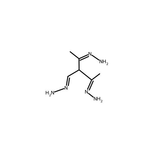 C/C(=N/N)C(/C=N/N)/C(C)=N/N